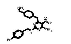 NCC1CCC(Cc2nc(NCc3ccc(Br)cc3)nc(N)c2[N+](=O)[O-])CC1